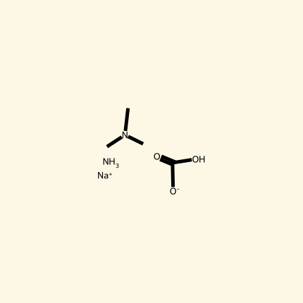 CN(C)C.N.O=C([O-])O.[Na+]